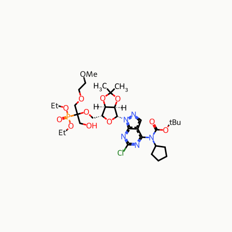 CCOP(=O)(OCC)C(CO)(COCCOC)OC[C@H]1O[C@@H](n2ncc3c(N(C(=O)OC(C)(C)C)C4CCCC4)nc(Cl)nc32)[C@@H]2OC(C)(C)O[C@@H]21